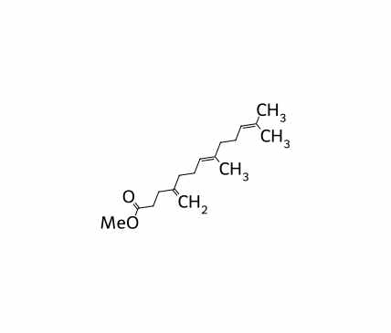 C=C(CC/C=C(\C)CCC=C(C)C)CCC(=O)OC